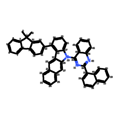 CC1(C)c2ccccc2-c2ccc(-c3cccc4c3c3cc5ccccc5cc3n4-c3nc(-c4cccc5ccccc45)nc4ccccc34)cc21